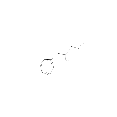 NC(CCO)Cc1ccccc1